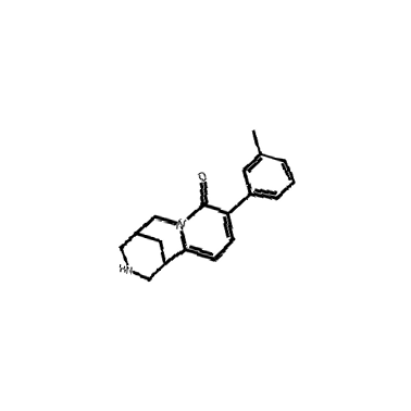 Cc1cccc(-c2ccc3n(c2=O)CC2CNCC3C2)c1